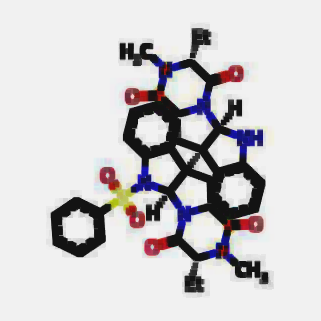 CC[C@]12SS[C@@]3(C[C@]4(C56C[C@@]78SS[C@@](CC)(C(=O)N7[C@H]5N(S(=O)(=O)c5ccccc5)c5ccccc56)N(C)C8=O)c5ccccc5N[C@@H]4N3C1=O)C(=O)N2C